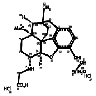 CCO.CO[C@@]12CC[C@@H](NCC(=O)O)[C@@H]3Oc4c(O)ccc5c4[C@@]31CCN(C)[C@@H]2C5.Cl.Cl.O